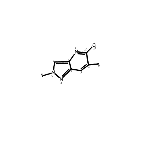 Cc1cc2nn(C)cc2nc1Cl